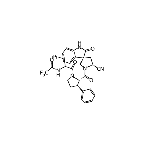 CC(C)CC(NC(=O)C(F)(F)F)C(=O)N1CC[C@H](c2ccccc2)[C@H]1C(=O)N1C[C@]2(C[C@H]1C#N)C(=O)Nc1ccccc12